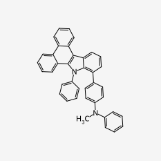 CN(c1ccccc1)c1ccc(-c2cccc3c4c5ccccc5c5ccccc5c4n(-c4ccccc4)c23)cc1